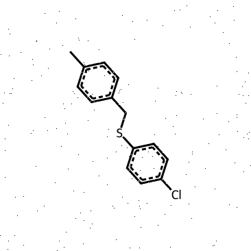 Cc1ccc(CSc2ccc(Cl)cc2)cc1